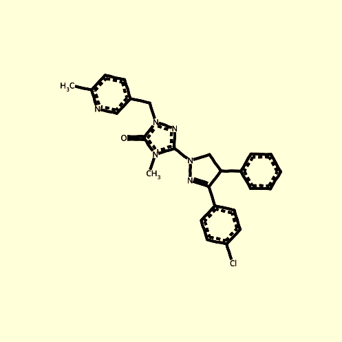 Cc1ccc(Cn2nc(N3CC(c4ccccc4)C(c4ccc(Cl)cc4)=N3)n(C)c2=O)cn1